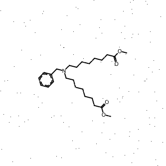 COC(=O)CCCCCCCN(CCCCCCCC(=O)OC)Cc1ccccc1